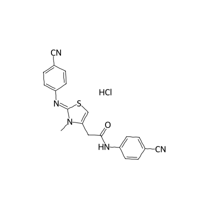 Cl.Cn1c(CC(=O)Nc2ccc(C#N)cc2)csc1=Nc1ccc(C#N)cc1